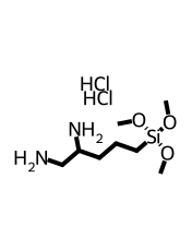 CO[Si](CCCC(N)CN)(OC)OC.Cl.Cl